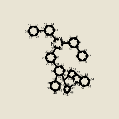 c1ccc(-c2cccc(-c3nc(-c4cccc(-c5ccccc5)c4)nc(-c4cccc(-c5ccc6c(c5)-c5ccccc5[C@]65c6ccccc6-n6c7ccccc7c7cccc5c76)c4)n3)c2)cc1